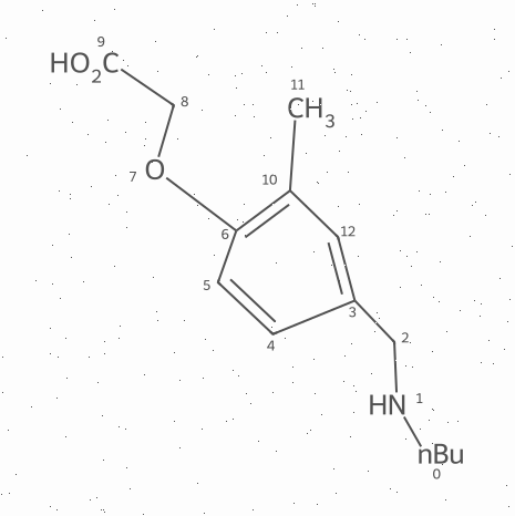 CCCCNCc1ccc(OCC(=O)O)c(C)c1